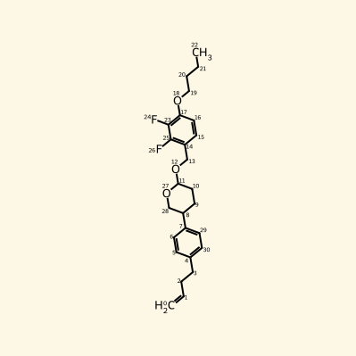 C=CCCc1ccc(C2CCC(OCc3ccc(OCCCC)c(F)c3F)OC2)cc1